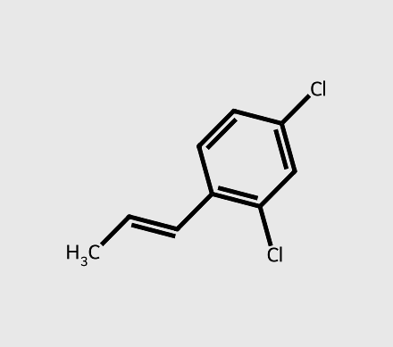 C/C=C/c1ccc(Cl)cc1Cl